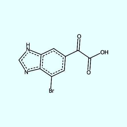 O=C(O)C(=O)c1cc(Br)c2nc[nH]c2c1